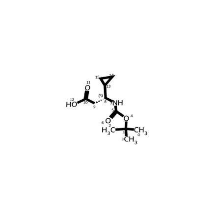 CC(C)(C)OC(=O)N[C@H](CC(=O)O)C1CC1